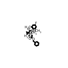 Cc1cc(F)cc(C)c1NC(=O)C1([PH](C)(C)CC(=O)OCc2ccccc2)CC1